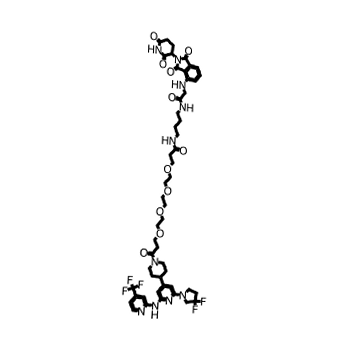 O=C(CCOCCOCCOCCOCCC(=O)N1CCC(c2cc(Nc3cc(C(F)(F)F)ccn3)nc(N3CCC(F)(F)C3)c2)CC1)NCCCCNC(=O)CNc1cccc2c1C(=O)N(C1CCC(=O)NC1=O)C2=O